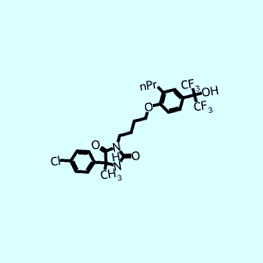 CCCc1cc(C(O)(C(F)(F)F)C(F)(F)F)ccc1OCCCCN1C(=O)NC(C)(c2ccc(Cl)cc2)C1=O